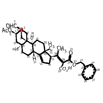 CC(=O)O[C@H]1CC[C@@]2(COC=O)[C@@H](CC[C@H]3C4=CC[C@H](/C(C)=C(\C(=O)O)C(=O)OCc5ccccc5)[C@@]4(C)CC[C@@H]32)C1